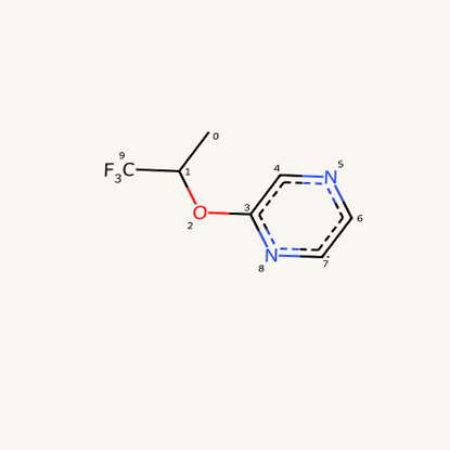 CC(Oc1cnc[c]n1)C(F)(F)F